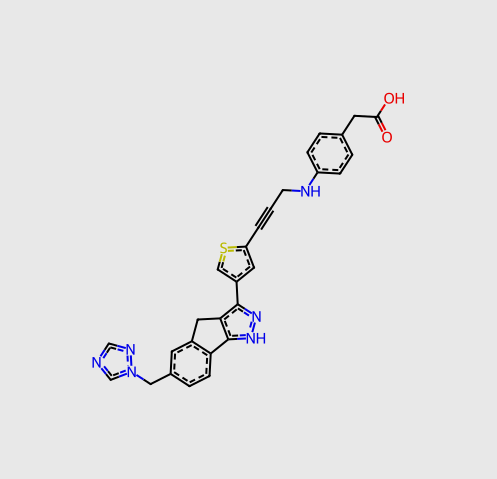 O=C(O)Cc1ccc(NCC#Cc2cc(-c3n[nH]c4c3Cc3cc(Cn5cncn5)ccc3-4)cs2)cc1